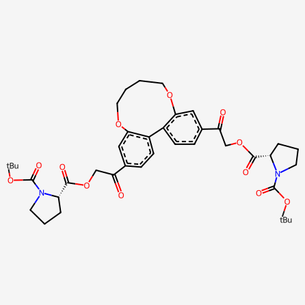 CC(C)(C)OC(=O)N1CCC[C@H]1C(=O)OCC(=O)c1ccc2c(c1)OCCCCOc1cc(C(=O)COC(=O)[C@@H]3CCCN3C(=O)OC(C)(C)C)ccc1-2